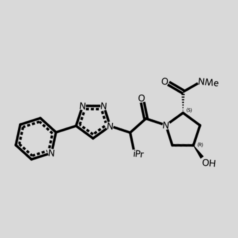 CNC(=O)[C@@H]1C[C@@H](O)CN1C(=O)C(C(C)C)n1cc(-c2ccccn2)nn1